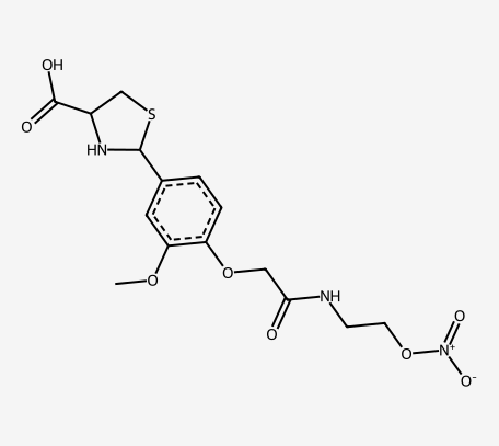 COc1cc(C2NC(C(=O)O)CS2)ccc1OCC(=O)NCCO[N+](=O)[O-]